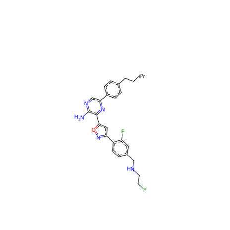 CC(C)CCc1ccc(-c2cnc(N)c(-c3cc(-c4ccc(CNCCF)cc4F)no3)n2)cc1